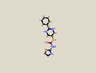 O=C(Nc1nccs1)Oc1cnc(-c2ccccc2)nc1